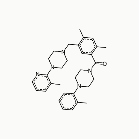 Cc1cc(C)c(C(=O)N2CCN(c3ccccc3C)CC2)cc1CN1CCN(c2ncccc2C)CC1